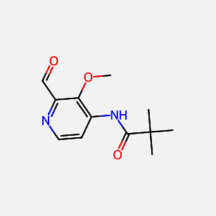 COc1c(NC(=O)C(C)(C)C)ccnc1C=O